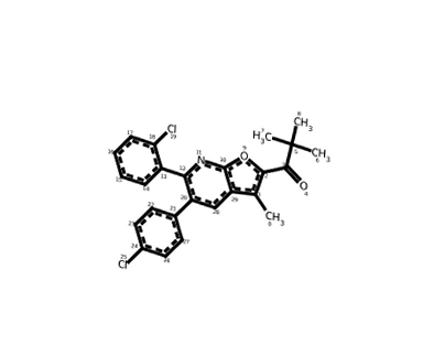 Cc1c(C(=O)C(C)(C)C)oc2nc(-c3ccccc3Cl)c(-c3ccc(Cl)cc3)cc12